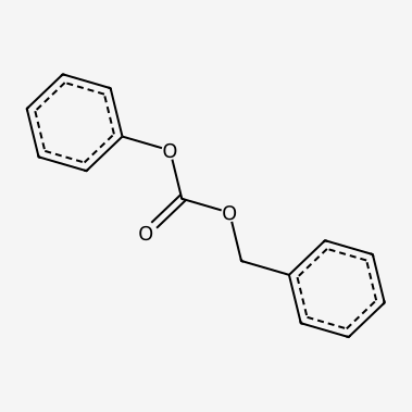 O=C(OCc1ccccc1)Oc1ccccc1